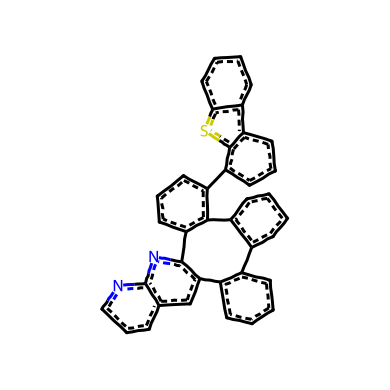 c1ccc2c(c1)-c1ccccc1-c1c(cccc1-c1cccc3c1sc1ccccc13)-c1nc3ncccc3cc1-2